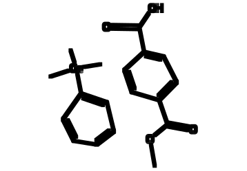 COC(=O)c1ccc(C(=O)O)cc1.[CH3][Ge]([CH3])([CH3])[c]1ccccc1